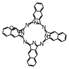 Cn1c2nc3nc(nc4c5cc6ccccc6cc5c(nc5nc(nc1c1cc6ccccc6cc12)-c1cc2ccccc2cc1-5)n4CC=O)-c1cc2ccccc2cc1-3